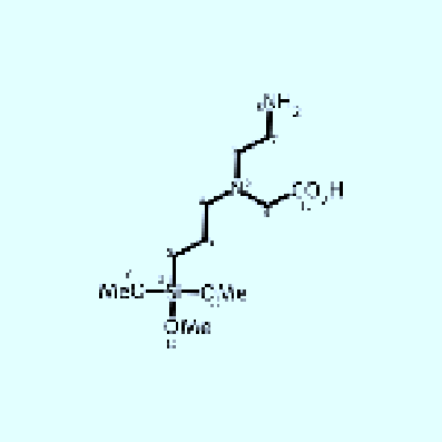 CO[Si](CCCN(CCN)CC(=O)O)(OC)OC